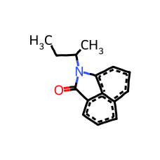 CCC(C)N1C(=O)c2cccc3cccc1c23